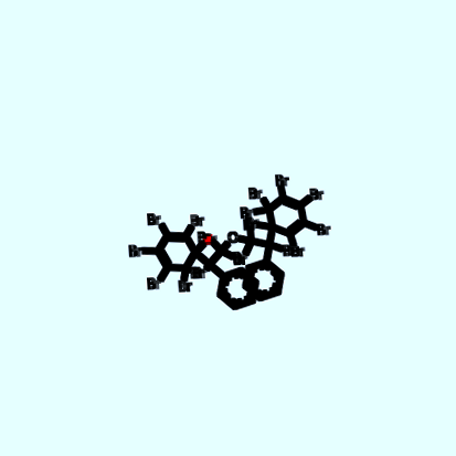 BrC1=C(Br)C(Br)(Br)C(Br)(C(Br)(c2ccccc2)C(Br)(Br)OC(Br)(Br)C(Br)(c2ccccc2)C2(Br)C(Br)=C(Br)C(Br)=C(Br)C2(Br)Br)C(Br)=C1Br